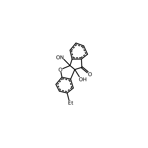 CCc1ccc2c(c1)C1(O)C(=O)c3ccccc3C1(N=O)O2